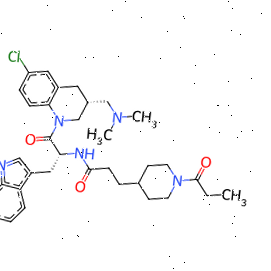 CCC(=O)N1CCC(CCC(=O)N[C@H](Cc2c[nH]c3ccccc23)C(=O)N2C[C@@H](CN(C)C)Cc3cc(Cl)ccc32)CC1